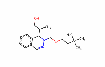 CC(CO)C1c2ccccc2C=NN1COCC[Si](C)(C)C